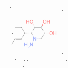 C/C=C/C(CC)[C@@H]1[C@H](O)[C@@H](O)[C@H](O)CN1N